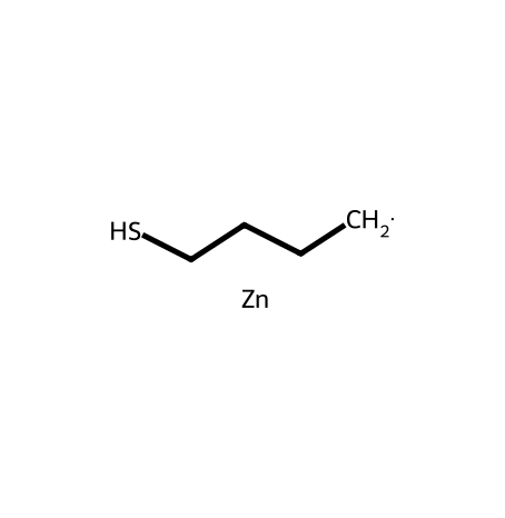 [CH2]CCCS.[Zn]